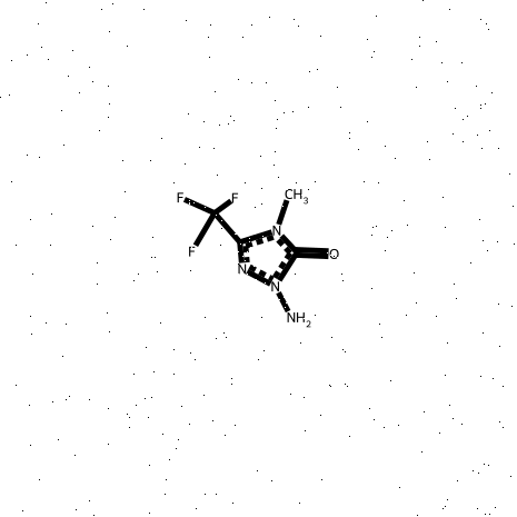 Cn1c(C(F)(F)F)nn(N)c1=O